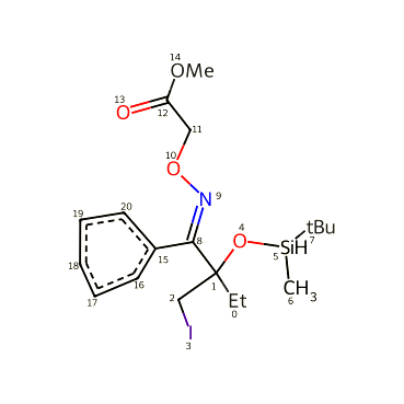 CCC(CI)(O[SiH](C)C(C)(C)C)/C(=N/OCC(=O)OC)c1ccccc1